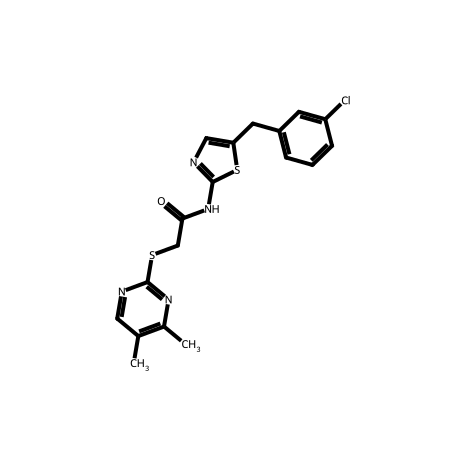 Cc1cnc(SCC(=O)Nc2ncc(Cc3cccc(Cl)c3)s2)nc1C